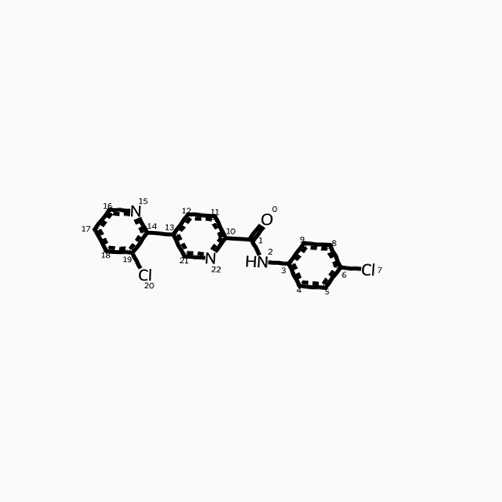 O=C(Nc1ccc(Cl)cc1)c1ccc(-c2ncccc2Cl)cn1